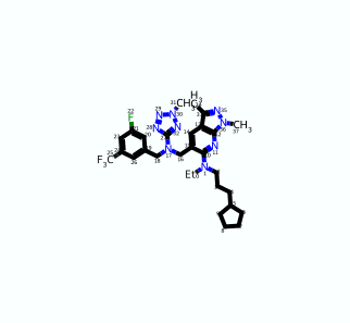 CCN(CCCC1CCCC1)c1nc2c(cc1CN(Cc1cc(F)cc(C(F)(F)F)c1)c1nnn(C)n1)c(C)nn2C